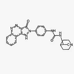 O=C(Nc1ccc(-n2[nH]c3c(nnc4ccccc43)c2=O)cc1)NC1CN2CCC1CC2